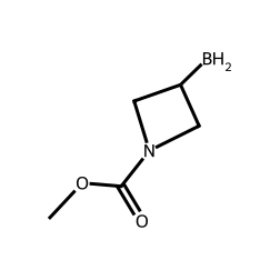 BC1CN(C(=O)OC)C1